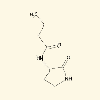 CCCC(=O)N[C@H]1CCNC1=O